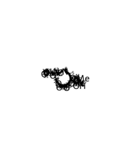 CO[C@]1(C)C[C@@H](C)CN(C)CCC(N(C)C(=O)CN2CCOCC2)CCCOC(=O)C(C)(C)C(=O)[C@H](C)[C@H]1O[C@@H]1O[C@H](C)C[C@H](N(C)C)[C@H]1O